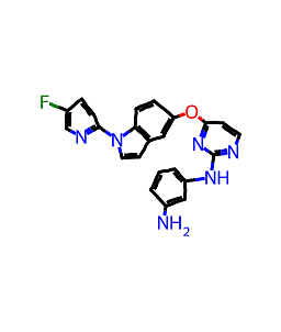 Nc1cccc(Nc2nccc(Oc3ccc4c(ccn4-c4ccc(F)cn4)c3)n2)c1